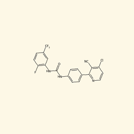 N#Cc1c(Cl)ccnc1-c1ccc(NC(=O)Nc2cc(C(F)(F)F)ccc2F)cc1